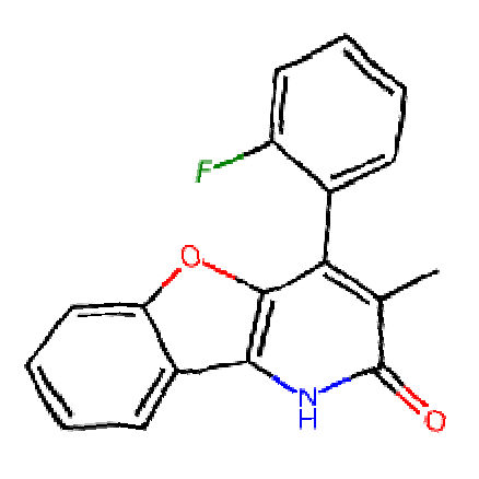 Cc1c(-c2ccccc2F)c2oc3ccccc3c2[nH]c1=O